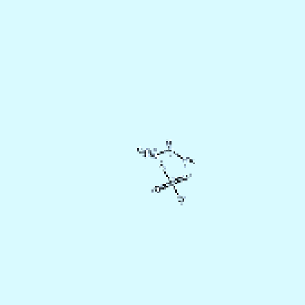 CCCCNCCCC.O=S(=O)([O-])[O-].[Cu+2]